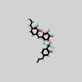 CCCc1ccc(C(F)(F)Oc2cc3c(c(F)c2F)Oc2c(ccc(CCC)c2F)C3)c(F)c1